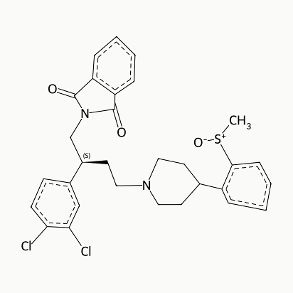 C[S+]([O-])c1ccccc1C1CCN(CC[C@H](CN2C(=O)c3ccccc3C2=O)c2ccc(Cl)c(Cl)c2)CC1